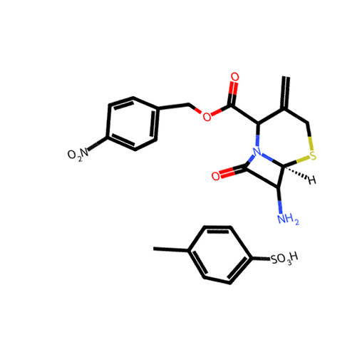 C=C1CS[C@H]2C(N)C(=O)N2C1C(=O)OCc1ccc([N+](=O)[O-])cc1.Cc1ccc(S(=O)(=O)O)cc1